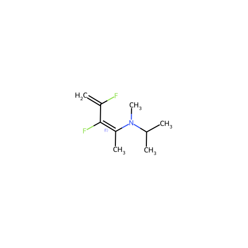 C=C(F)/C(F)=C(/C)N(C)C(C)C